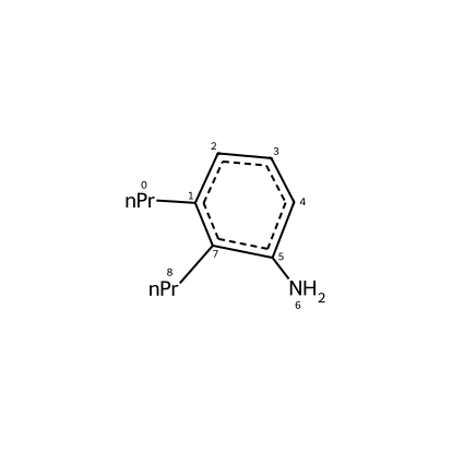 CCCc1cccc(N)c1CCC